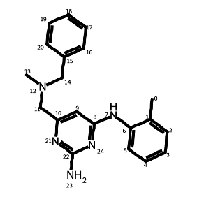 Cc1ccccc1Nc1cc(CN(C)Cc2ccccc2)nc(N)n1